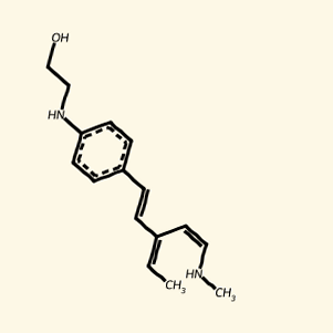 C/C=C(\C=C/NC)/C=C/c1ccc(NCCO)cc1